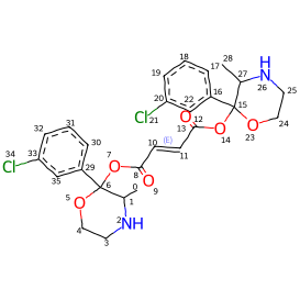 CC1NCCOC1(OC(=O)/C=C/C(=O)OC1(c2cccc(Cl)c2)OCCNC1C)c1cccc(Cl)c1